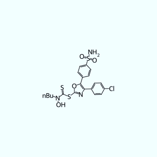 CCCCN(O)C(=S)Sc1nc(-c2ccc(Cl)cc2)c(-c2ccc(S(N)(=O)=O)cc2)o1